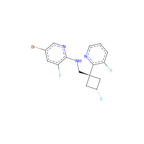 Fc1cc(Br)cnc1NC[C@]1(c2ncccc2F)C[C@@H](F)C1